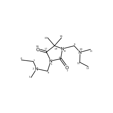 CCN(C)CN1C(=O)N(CN(C)CC)C(C)(C)C1=O